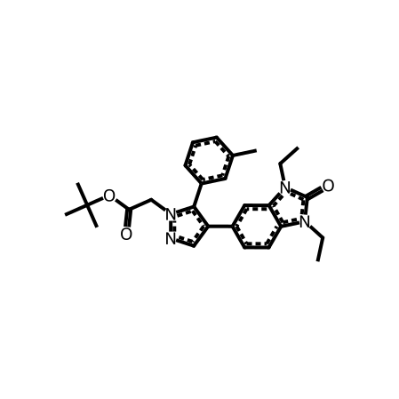 CCn1c(=O)n(CC)c2cc(-c3cnn(CC(=O)OC(C)(C)C)c3-c3cccc(C)c3)ccc21